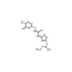 CN(CC(=O)O)Cc1csc(NC(=O)NCc2ccc(Cl)c(Cl)c2)n1